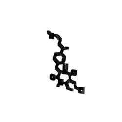 C=N/C=C\C=C(/C)c1ccc(/C=C2\NC(=O)C(=C/CCl)/C(=C\C)N(C)C2=O)cc1